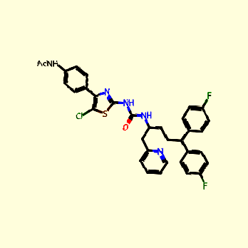 CC(=O)Nc1ccc(-c2nc(NC(=O)NC(CCC(c3ccc(F)cc3)c3ccc(F)cc3)Cc3ccccn3)sc2Cl)cc1